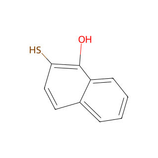 Oc1c(S)ccc2ccccc12